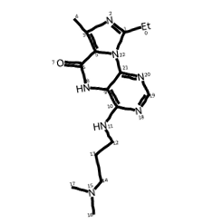 CCc1nc(C)c2c(=O)[nH]c3c(NCCCN(C)C)ncnc3n12